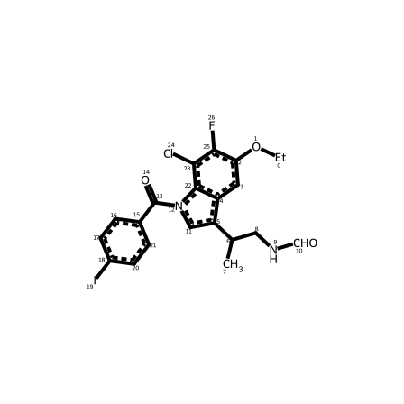 CCOc1cc2c(C(C)CNC=O)cn(C(=O)c3ccc(I)cc3)c2c(Cl)c1F